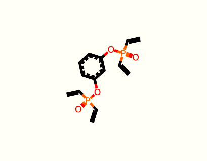 C=CP(=O)(C=C)Oc1cccc(OP(=O)(C=C)C=C)c1